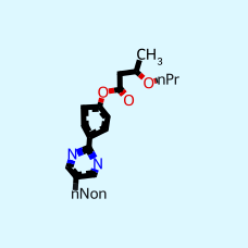 CCCCCCCCCc1cnc(-c2ccc(OC(=O)CC(C)OCCC)cc2)nc1